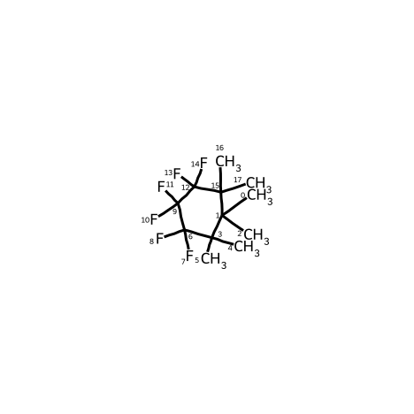 CC1(C)C(C)(C)C(F)(F)C(F)(F)C(F)(F)C1(C)C